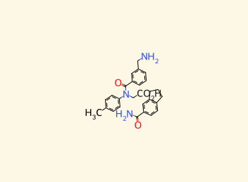 Cc1ccc(N(CC(=O)O)C(=O)c2cccc(CN)c2)cc1.NC(=O)c1ccc2c(c1)CCC2